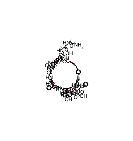 CC(=O)N[C@@H](CC(C)C)C(=O)N[C@H](C(=O)C(=O)[C@H](Cc1ccccc1)NN[C@]1(C)CSCc2ccc(cc2)-c2ccc(cc2)CSC[C@@](C)(C(=O)N[C@@H](CO)C(=O)CN[C@@H](C)C(=O)CCN[C@@H](C)C(=O)CN)NC(=O)[C@H](CC2CCC2)NN[C@@H](CCC(N)=O)C(=O)CN[C@@H](C)C(=O)CC(=O)[C@H](Cc2c[nH]c3ccccc23)NN[C@@H](Cc2ccc(O)cc2)C(=O)C(=O)[C@H](CCC(=O)O)NC1=O)[C@@H](C)O